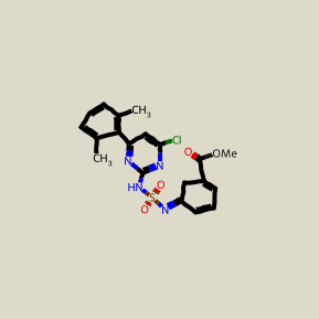 COC(=O)C1=CC=CC(=NS(=O)(=O)Nc2nc(Cl)cc(-c3c(C)cccc3C)n2)C1